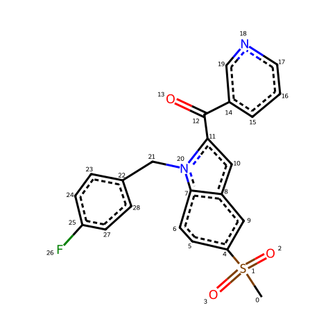 CS(=O)(=O)c1ccc2c(c1)cc(C(=O)c1cccnc1)n2Cc1ccc(F)cc1